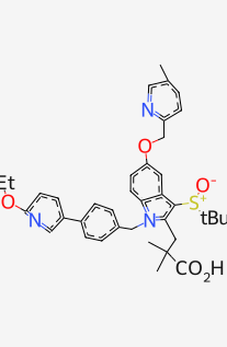 CCOc1ccc(-c2ccc(Cn3c(CC(C)(C)C(=O)O)c([S+]([O-])C(C)(C)C)c4cc(OCc5ccc(C)cn5)ccc43)cc2)cn1